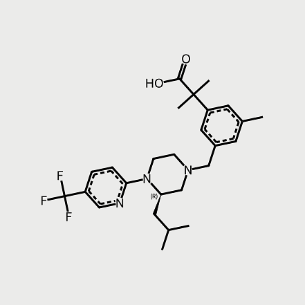 Cc1cc(CN2CCN(c3ccc(C(F)(F)F)cn3)[C@H](CC(C)C)C2)cc(C(C)(C)C(=O)O)c1